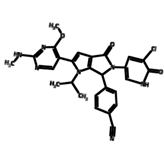 CNc1ncc(-c2cc3c(n2C(C)C)C(c2ccc(C#N)cc2)N(c2c[nH]c(=O)c(Cl)c2)C3=O)c(OC)n1